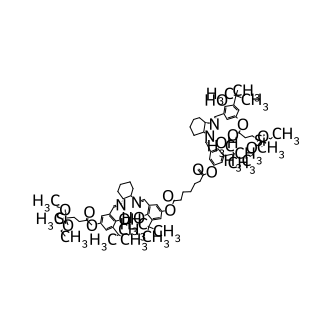 CCO[Si](C)(CCC(=O)Oc1cc(/C=N/[C@@H]2CCCCC2/N=C/c2cc(OC(=O)CCCCCC(=O)Oc3cc(/C=N/C4CCCC[C@H]4/N=C/c4cc(OC(=O)CC[Si](C)(OCC)OCC)cc(C(C)(C)C)c4O)c(O)c(C(C)(C)C)c3)cc(C(C)(C)C)c2O)c(O)c(C(C)(C)C)c1)OCC